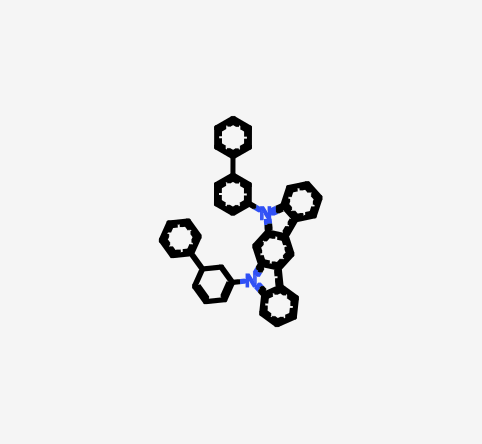 C1=CC(c2ccccc2)CC(n2c3ccccc3c3cc4c5ccccc5n(-c5cccc(-c6ccccc6)c5)c4cc32)=C1